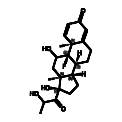 CC(O)C(=O)[C@@]1(O)CC[C@H]2[C@@H]3CCC4=CC(=O)C=C[C@]4(C)[C@@]3(F)C(O)C[C@@]21C